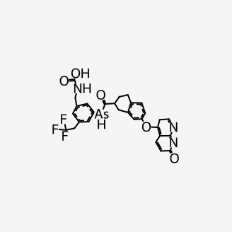 O=C1C=CC2=C(Oc3ccc4c(c3)CC(C(=O)[AsH]c3cc(CNC(=O)O)cc(CC(F)(F)F)c3)CC4)CC=NC2=N1